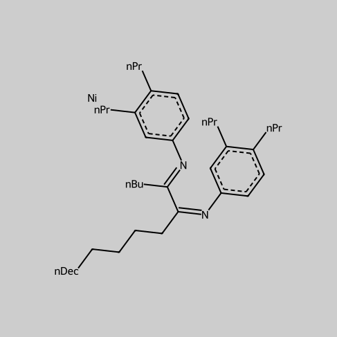 CCCCCCCCCCCCCCC(=Nc1ccc(CCC)c(CCC)c1)C(CCCC)=Nc1ccc(CCC)c(CCC)c1.[Ni]